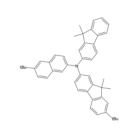 CC(C)(C)c1ccc2c(c1)C(C)(C)c1cc(N(c3ccc4c(c3)C(C)(C)c3ccccc3-4)c3ccc4cc(C(C)(C)C)ccc4c3)ccc1-2